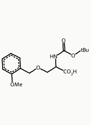 COc1ccccc1COCC(NC(=O)OC(C)(C)C)C(=O)O